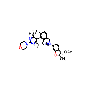 CC(=O)O[C@H]1c2ccc(NCc3ccc(C)c(-c4c(C)nc(N5CCOCC5)nc4C)c3C)cc2OC1C